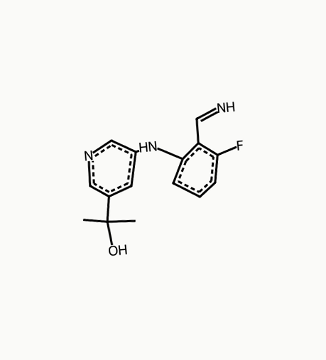 CC(C)(O)c1cncc(Nc2cccc(F)c2C=N)c1